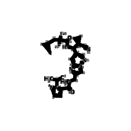 CC(C)n1nccc1C(=O)NCc1cn2ncc(C(NC(=O)C(F)(F)CC3CC3)C3(C#N)CC3)cc2n1